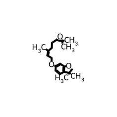 CC(=CCOc1ccc2c(c1)OCC2(C)C)CCC1OC1(C)C